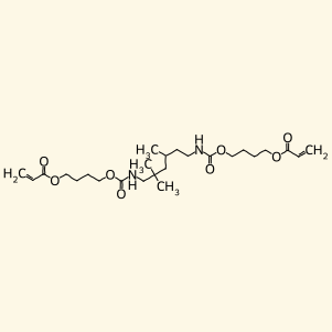 C=CC(=O)OCCCCOC(=O)NCCC(C)CC(C)(C)CNC(=O)OCCCCOC(=O)C=C